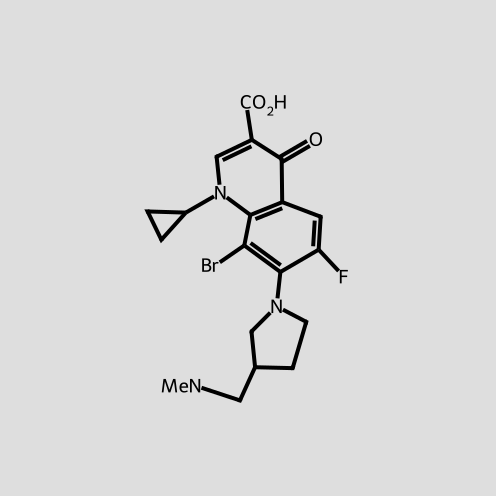 CNCC1CCN(c2c(F)cc3c(=O)c(C(=O)O)cn(C4CC4)c3c2Br)C1